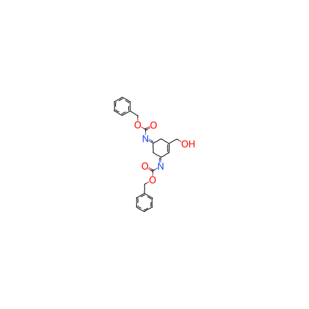 O=C(N=C1C=C(CO)CC(=NC(=O)OCc2ccccc2)C1)OCc1ccccc1